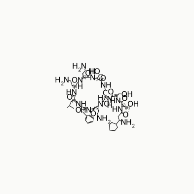 CC(C)C[C@@H]1NC(=O)[C@@H](Cc2ccccc2)NC(=O)[C@H](CCN)NC(=O)[C@@H](NC(=O)[C@@H](CO)NC(=O)[C@@H](NC(=O)CC(N)C2CCCCC2)[C@@H](C)O)CCNC(=O)[C@H](C(C)O)NC(=O)[C@H](CCN)NC(=O)[C@H](CCN)NC1=O